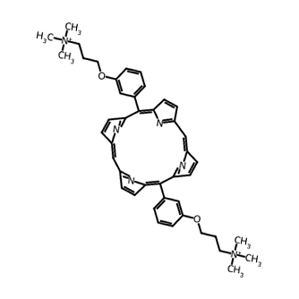 C[N+](C)(C)CCCOc1cccc(C2=C3C=CC(=N3)C=C3C=CC(=N3)C(c3cccc(OCCC[N+](C)(C)C)c3)=C3C=CC(=N3)C=C3C=CC2=N3)c1